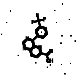 O=C(O)c1ccc2ncnc(-c3cccc(C(F)(F)F)c3)c2n1